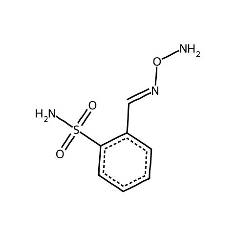 NON=Cc1ccccc1S(N)(=O)=O